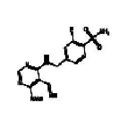 CNc1ncnc(NCc2ccc(S(N)(=O)=O)c(F)c2)c1C=N